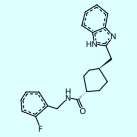 O=C(NCc1ccccc1F)[C@H]1CC[C@H](Cc2nc3ccccc3[nH]2)CC1